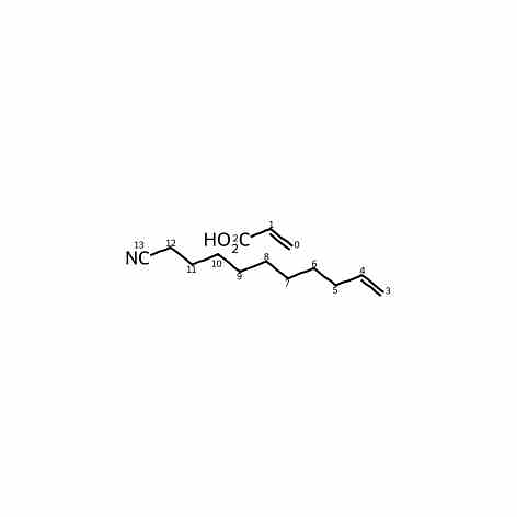 C=CC(=O)O.C=CCCCCCCCCC#N